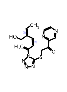 C=C(/C=C\C(=C/C)CO)n1nnnc1SCC(=O)c1cnccn1